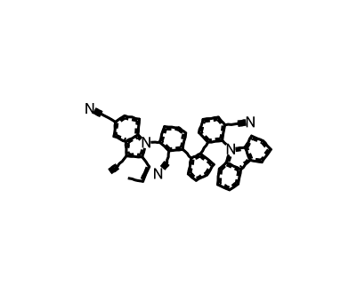 C#Cc1c(/C=C\C)n(-c2cccc(-c3ccccc3-c3cccc(C#N)c3-n3c4ccccc4c4ccccc43)c2C#N)c2ccc(C#N)cc12